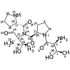 C[C@@H](O)[C@H](N)C(=O)N1CCC[C@@H]1C(=O)N(C(=O)[C@@H]1CCCN1)[C@](N)(C=O)[C@@H](C)O